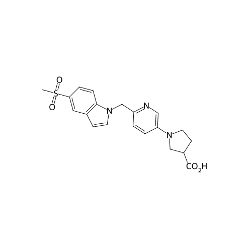 CS(=O)(=O)c1ccc2c(ccn2Cc2ccc(N3CCC(C(=O)O)C3)cn2)c1